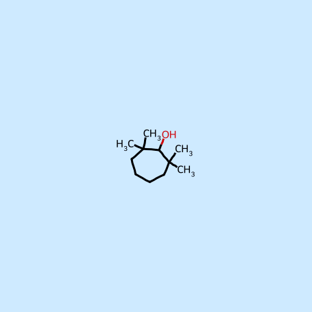 CC1(C)CCCCC(C)(C)C1O